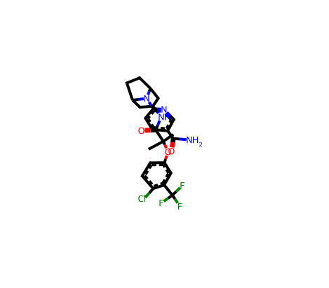 CC(C)(Oc1ccc(Cl)c(C(F)(F)F)c1)C(=O)NC1CC2CCC(C1)N2c1ccc(C(N)=O)cn1